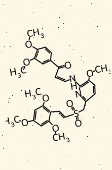 COc1cc(OC)c(/C=C/S(=O)(=O)Cc2ccc(OC)c(N/C=C\C(=O)c3ccc(OC)c(OC)c3)n2)c(OC)c1